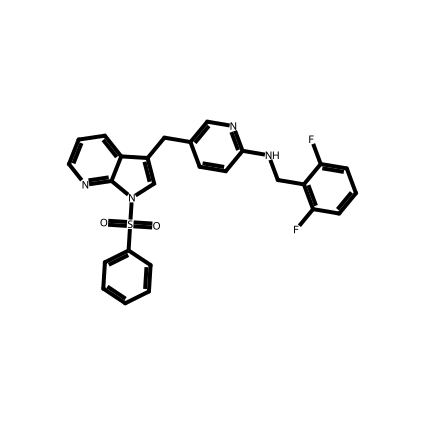 O=S(=O)(c1ccccc1)n1cc(Cc2ccc(NCc3c(F)cccc3F)nc2)c2cccnc21